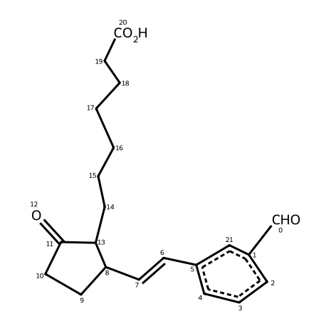 O=Cc1cccc(/C=C/C2CCC(=O)C2CCCCCCC(=O)O)c1